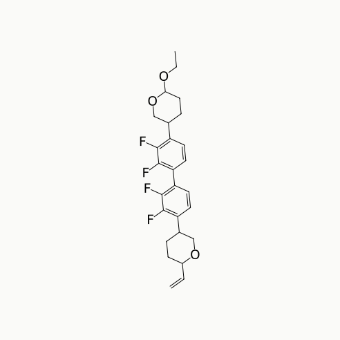 C=CC1CCC(c2ccc(-c3ccc(C4CCC(OCC)OC4)c(F)c3F)c(F)c2F)CO1